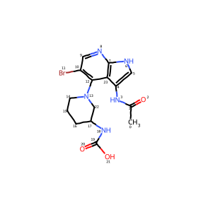 CC(=O)Nc1c[nH]c2ncc(Br)c(N3CCCC(NC(=O)O)C3)c12